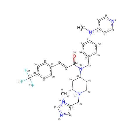 CN(c1ccncc1)c1ccc(CN(C(=O)/C=C/c2ccc(C(F)(F)F)cc2)C2CCN(Cc3cncn3C)CC2)cc1